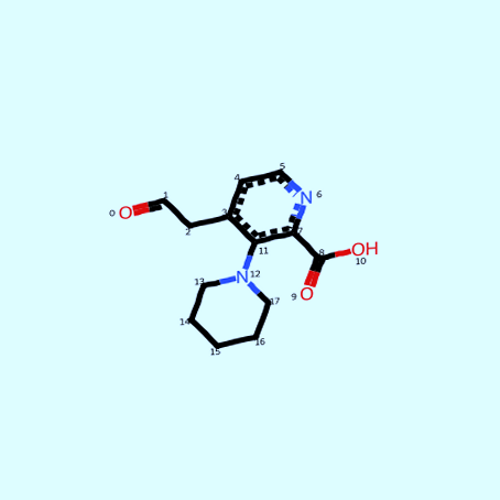 O=CCc1ccnc(C(=O)O)c1N1CCCCC1